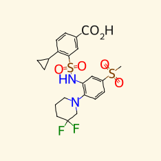 CS(=O)(=O)c1ccc(N2CCCC(F)(F)C2)c(NS(=O)(=O)c2cc(C(=O)O)ccc2C2CC2)c1